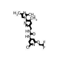 Cc1cn(-c2nnc(CNC(=O)Nc3cc(Cl)nc(OCC(F)F)c3)cc2C)c(C)n1